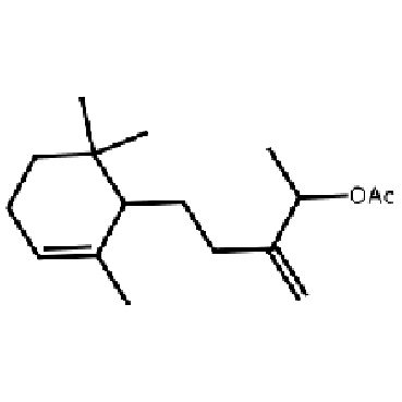 C=C(CCC1C(C)=CCCC1(C)C)C(C)OC(C)=O